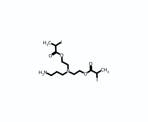 CC(I)C(=O)OCCN(CCCN)CCOC(=O)C(C)I